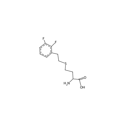 NC(CCSCCc1cccc(F)c1F)C(=O)O